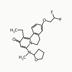 CCc1c2n(c(N(C)C3CCCO3)cc1=O)CCc1cc(OCC(F)F)ccc1-2